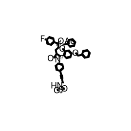 CC(=O)O[C@@H](CCC1C(=O)N(c2ccc(C#CCNS(C)(=O)=O)cc2)[C@@H]1c1ccc(OCc2ccccc2)cc1OCc1ccccc1)c1ccc(F)cc1